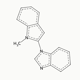 Cn1c(-n2cnc3ccccc32)cc2ccccc21